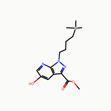 COC(=O)c1nn(CCCC[Si](C)(C)C)c2ncc(O)cc12